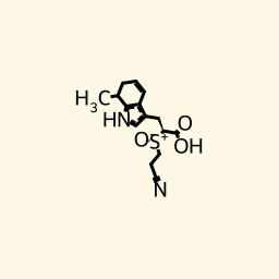 CC1CC=Cc2c(C[C@@H](C(=O)O)[S+]([O-])CCC#N)c[nH]c21